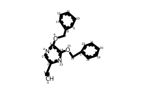 C#Cc1cnc(OCc2ccccc2)c(OCc2ccccc2)n1